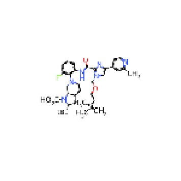 Cc1cc(-c2cn(COCC[Si](C)(C)C)c(C(=O)Nc3cccc(F)c3N3CCC4CC(C(C)(C)C)N(C(=O)O)C4C3)n2)ccn1